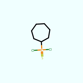 S=P(Cl)(Cl)C1CCCCCC1